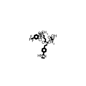 CN(CCc1ccc(C2=NCCN2)cc1)C(=O)CCCN(C)S(=O)(=O)c1ccc(C(F)(F)F)cc1Cl.O=C(O)C(F)(F)F